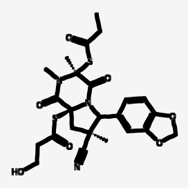 CCC(=O)S[C@@]1(C)C(=O)N2C(c3ccc4c(c3)OCO4)[C@@](C)(C#N)C[C@]2(SC(=O)CCO)C(=O)N1C